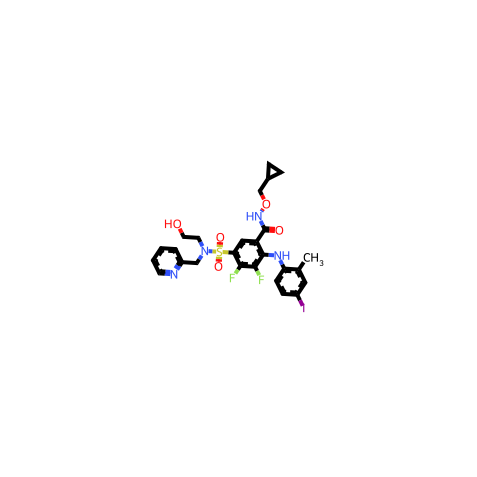 Cc1cc(I)ccc1Nc1c(C(=O)NOCC2CC2)cc(S(=O)(=O)N(CCO)Cc2ccccn2)c(F)c1F